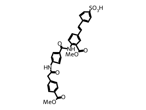 COC(=O)c1ccc(CC(=O)Nc2ccc(C(=O)Nc3ccc(C=Cc4ccc(S(=O)(=O)O)cc4)cc3C(=O)OC)cc2)cc1